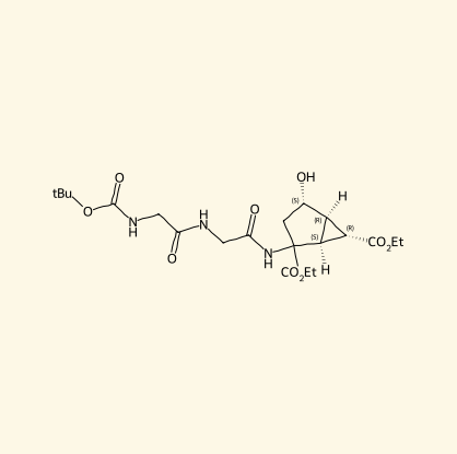 CCOC(=O)[C@H]1[C@H]2[C@@H]1C(NC(=O)CNC(=O)CNC(=O)OC(C)(C)C)(C(=O)OCC)C[C@@H]2O